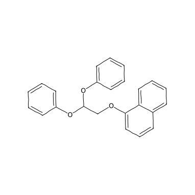 c1ccc(OC(COc2cccc3ccccc23)Oc2ccccc2)cc1